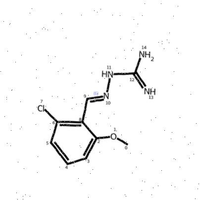 COc1cccc(Cl)c1/C=N/NC(=N)N